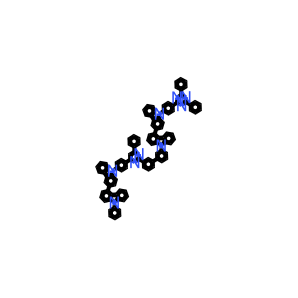 c1ccc(-c2cc(-c3ccc(-n4c5ccccc5c5cc(-c6cccc7c6c6ccccc6n7-c6ccccc6)ccc54)cc3)nc(-c3cccc(-c4cccc(-n5c6ccccc6c6c(-c7ccc8c(c7)c7ccccc7n8-c7ccc(-c8nc(-c9ccccc9)nc(-c9ccccc9)n8)cc7)cccc65)c4)c3)n2)cc1